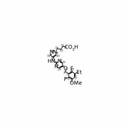 CCc1cc(OC)c(F)c(COc2cnc(Nc3cnn(CCCC(=O)O)c3)nc2)c1F